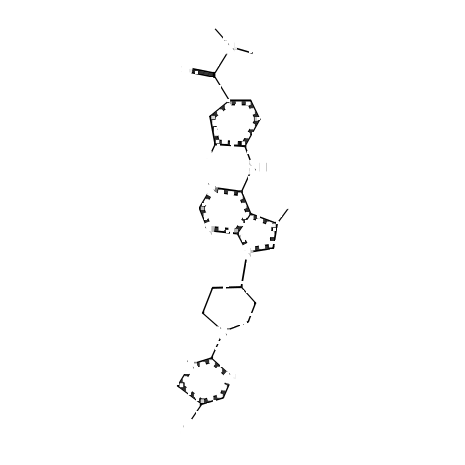 CN(C)C(=O)c1ccc(Nc2ncnc3c2c(F)cn3C2CCN(c3ncc(C(F)(F)F)cn3)CC2)c(F)c1